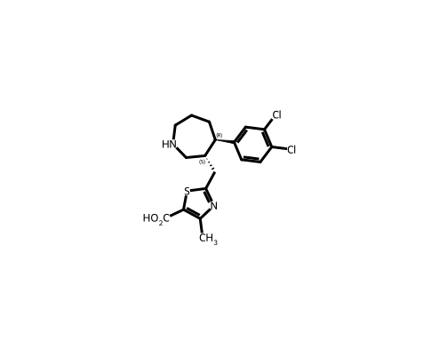 Cc1nc(C[C@@H]2CNCCC[C@H]2c2ccc(Cl)c(Cl)c2)sc1C(=O)O